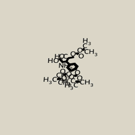 CC(C)OC(=O)OCC(C)C(c1ccc(OC(=O)OC(C)(C)C)c(OC(=O)OC(C)(C)C)c1)[C@H](N)C(=O)O